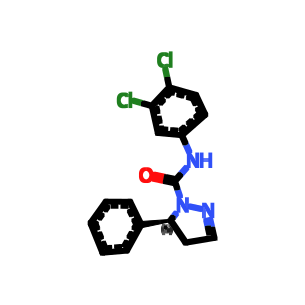 O=C(Nc1ccc(Cl)c(Cl)c1)N1N=CC[C@H]1c1ccccc1